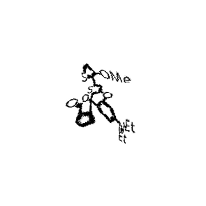 CCN(CC)c1ccc2c(c1)Oc1cc(-c3sccc3OC)sc1C21OC(=O)c2ccccc21